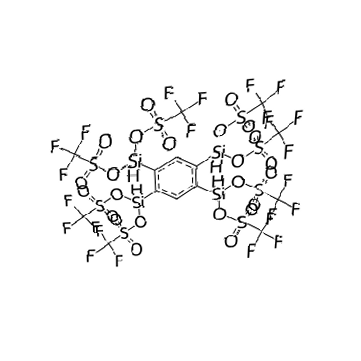 O=S(=O)(O[SiH](OS(=O)(=O)C(F)(F)F)c1cc([SiH](OS(=O)(=O)C(F)(F)F)OS(=O)(=O)C(F)(F)F)c([SiH](OS(=O)(=O)C(F)(F)F)OS(=O)(=O)C(F)(F)F)cc1[SiH](OS(=O)(=O)C(F)(F)F)OS(=O)(=O)C(F)(F)F)C(F)(F)F